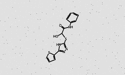 O=C(Nc1ccccc1)C(O)Sc1nnc(-c2cccs2)[nH]1